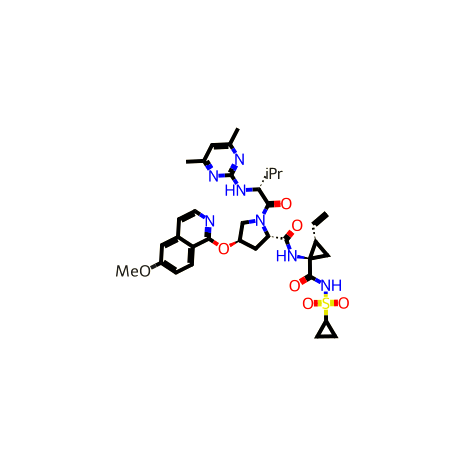 C=C[C@@H]1C[C@]1(NC(=O)[C@@H]1C[C@@H](Oc2nccc3cc(OC)ccc23)CN1C(=O)[C@H](Nc1nc(C)cc(C)n1)C(C)C)C(=O)NS(=O)(=O)C1CC1